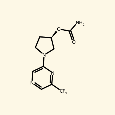 NC(=O)O[C@@H]1CCN(c2cncc(C(F)(F)F)n2)C1